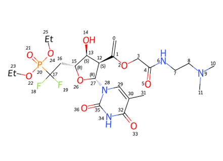 C=C(OCC(=O)NCCN(C)C)[C@@H]1[C@H](O)[C@@H](CC(F)(F)P(=O)(OCC)OCC)O[C@H]1n1cc(C)c(=O)[nH]c1=O